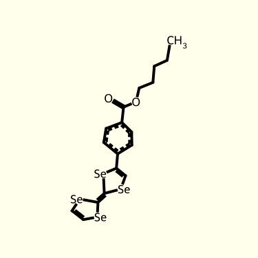 CCCCCOC(=O)c1ccc(C2=C[Se]C(=C3[Se]C=C[Se]3)[Se]2)cc1